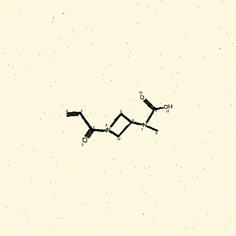 C=CC(=O)N1CC(N(C)C(=O)O)C1